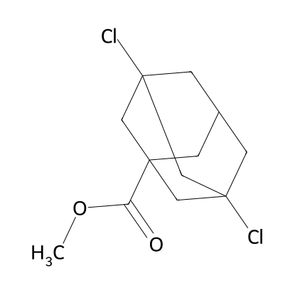 COC(=O)C12CC3CC(Cl)(CC(Cl)(C3)C1)C2